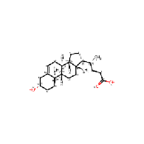 C[C@H](CCC(=O)O)[C@H]1CC[C@H]2[C@@H]3CC=C4C[C@@H](O)CC[C@]4(C)[C@H]3CCC12C